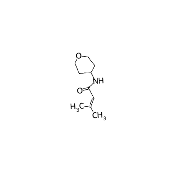 CC(C)=CC(=O)NC1CCOCC1